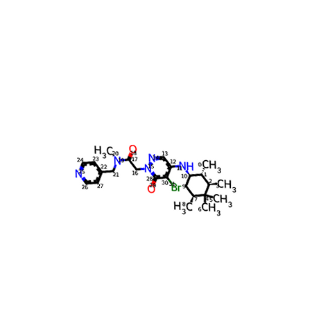 C[C@@H]1[C@@H](C)C(C)(C)[C@@H](C)C[C@H]1Nc1cnn(CC(=O)N(C)Cc2ccncc2)c(=O)c1Br